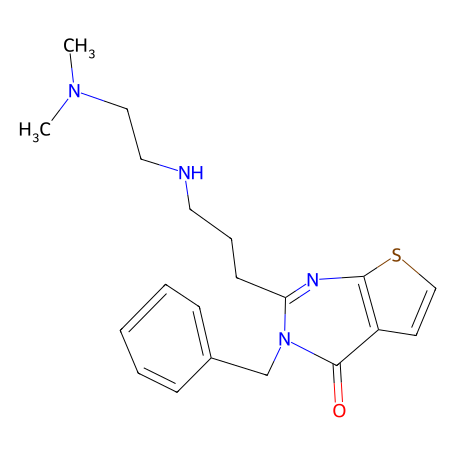 CN(C)CCNCCCc1nc2sccc2c(=O)n1Cc1ccccc1